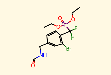 CCOP(=O)(OCC)C(F)(F)c1ccc(CNC=O)cc1Br